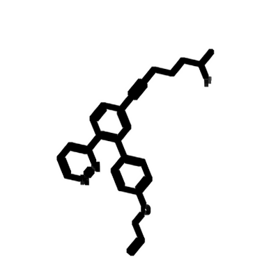 C=CCOc1ccc(-c2cc(C#CCCCC(C)F)ccc2-c2cccnn2)cc1